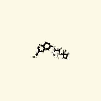 C#Cc1cnc2ccc(OC(SC)C(=O)NC3(C)CCC3)cc2c1